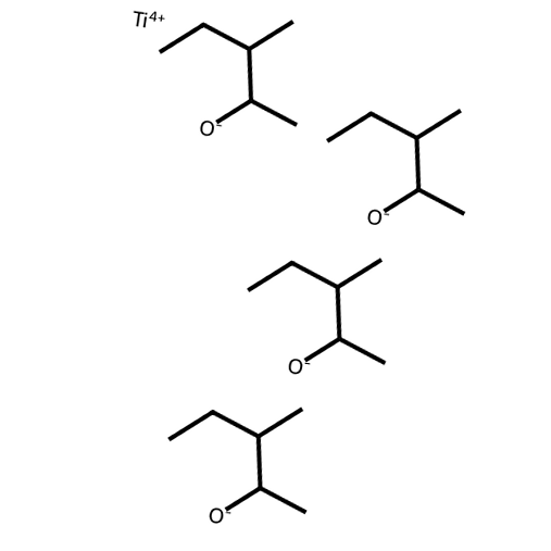 CCC(C)C(C)[O-].CCC(C)C(C)[O-].CCC(C)C(C)[O-].CCC(C)C(C)[O-].[Ti+4]